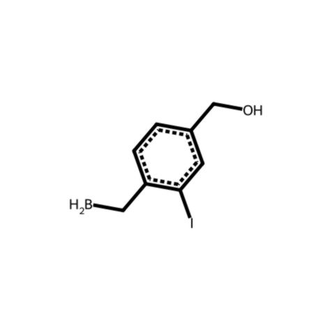 BCc1ccc(CO)cc1I